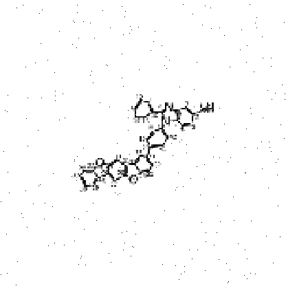 N#Cc1ccc2c(c1)nc(-c1ccccc1)n2-c1ccc(-c2ccc3oc4cc5c(cc4c3c2)oc2ccccc25)cc1